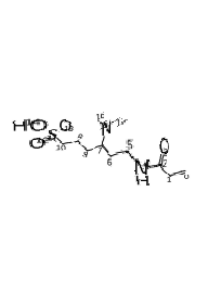 C=CC(=O)NCCC(CCCS(=O)(=O)O)N(C)C